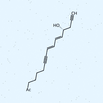 C#CC[C@@H](O)/C=C/C=C/C#CCCCCC(C)=O